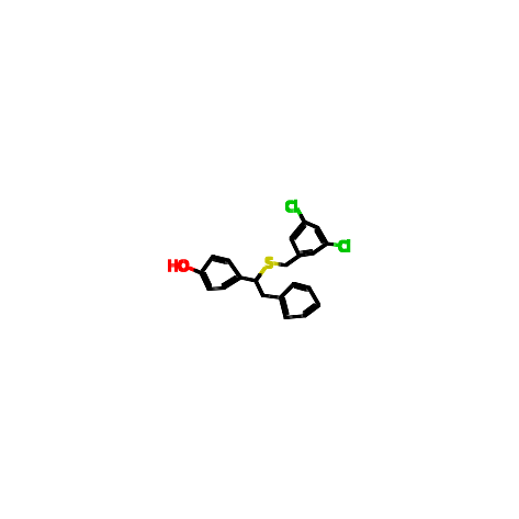 Oc1ccc(C(Cc2ccccc2)SCc2cc(Cl)cc(Cl)c2)cc1